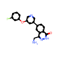 NCc1n[nH]c(=O)c2ccc(-c3cncc(Oc4cccc(F)c4)c3)cc12